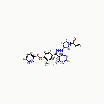 C=CC(=O)N1CC[C@@H](n2nc(-c3ccc(OCc4ccccn4)c(Cl)c3)c3c(N)ncnc32)C1